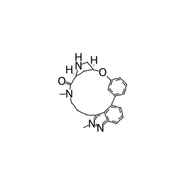 CN1CCCc2c3c(cccc3nn2C)-c2cccc(c2)O[C@@H]2CN[C@@H](C2)C1=O